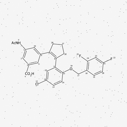 CC(=O)Nc1cc(C(=O)O)cc(C2=C(c3cc(Cl)ccc3OCc3ccc(F)cc3F)CCC2)c1